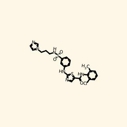 Cc1cccc(Cl)c1NC(=O)c1cnc(Nc2cccc(S(=O)(=O)NCCCn3ccnc3)c2)s1